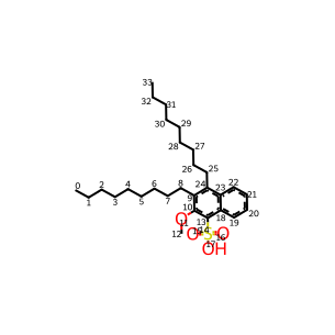 CCCCCCCCCc1c(OC)c(S(=O)(=O)O)c2ccccc2c1CCCCCCCCC